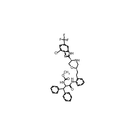 COC(=O)NC(C(=O)Nc1ccccc1CC[C@@H]1CN[C@H](c2nc3c(Cl)cc(C(F)(F)F)cc3[nH]2)CO1)C(c1ccccc1)c1ccccc1